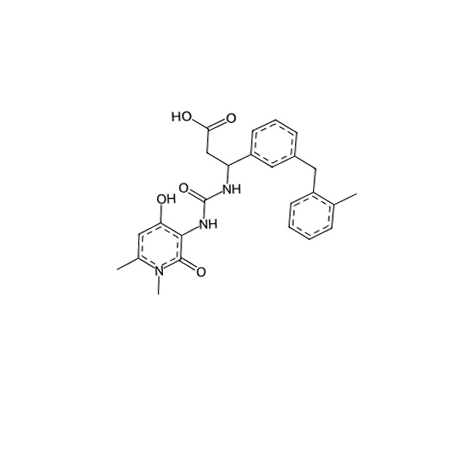 Cc1ccccc1Cc1cccc(C(CC(=O)O)NC(=O)Nc2c(O)cc(C)n(C)c2=O)c1